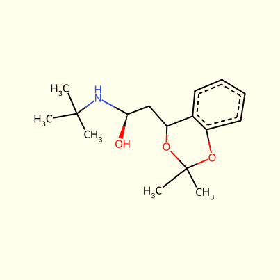 CC(C)(C)N[C@H](O)CC1OC(C)(C)Oc2ccccc21